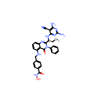 CC[C@H](Nc1nc(N)nc(N)c1C#N)c1nc2cccc(NCc3ccc(C(=O)NO)cc3)c2c(=O)n1-c1ccccc1